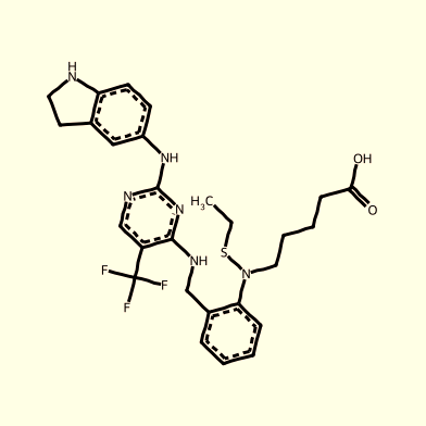 CCSN(CCCCC(=O)O)c1ccccc1CNc1nc(Nc2ccc3c(c2)CCN3)ncc1C(F)(F)F